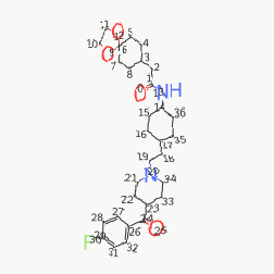 O=C(CC1CCC2(CC1)OCCO2)NC1CCC(CCN2CCC(C(=O)c3ccc(F)cc3)CC2)CC1